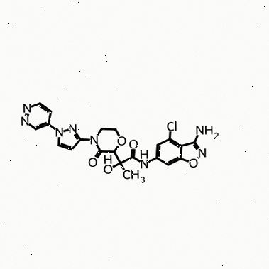 CC(O)(C(=O)Nc1cc(Cl)c2c(N)noc2c1)C1OCCN(c2ccn(-c3ccnnc3)n2)C1=O